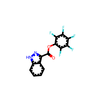 O=C(Oc1c(F)c(F)c(F)c(F)c1F)c1n[nH]c2ccccc12